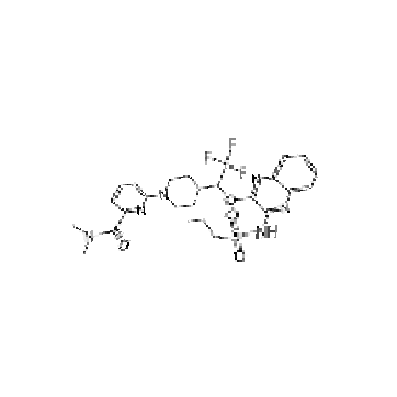 CCCS(=O)(=O)Nc1nc2ccccc2nc1OC(C1CCN(c2cccc(C(=O)N(C)C)n2)CC1)C(F)(F)F